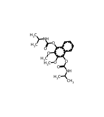 COc1c(OC)c(OC(=O)NC(C)C)c2ccccc2c1OC(=O)NC(C)C